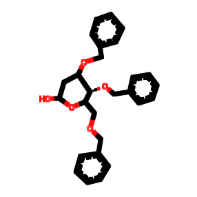 OC1CC(OCc2ccccc2)[C@H](OCc2ccccc2)C(COCc2ccccc2)O1